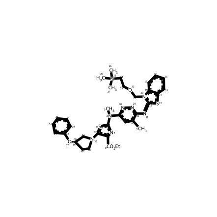 CCOC(=O)c1nc(N(C)c2cc(C)c(N=c3sc4ccccc4n3COCC[Si](C)(C)C)nn2)sc1N1CC[C@@H](Oc2ccccc2)C1